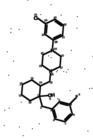 OC1(Cc2cccc(F)c2)CCCCC1CN1CCN(c2cccc(Cl)c2)CC1